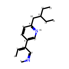 C/C=C(\C=N/C)c1ccc(CC(CC)CC)nc1